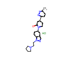 Cl.O=c1cc(-c2ccc(C(F)(F)F)nn2)ccn1-c1ccc2c(cnn2CCN2CCCC2)c1